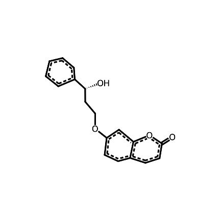 O=c1ccc2ccc(OCC[C@@H](O)c3ccccc3)cc2o1